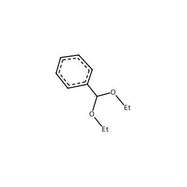 CCO[C](OCC)c1ccccc1